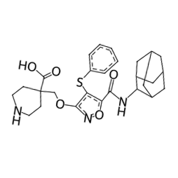 O=C(NC1C2CC3CC(C2)CC1C3)c1onc(OCC2(C(=O)O)CCNCC2)c1Sc1ccccc1